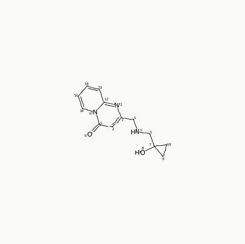 O=c1cc(CNCC2(O)CC2)nc2ccccn12